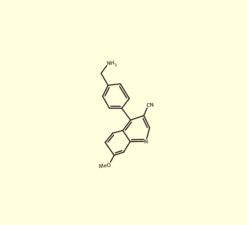 COc1ccc2c(-c3ccc(CN)cc3)c(C#N)cnc2c1